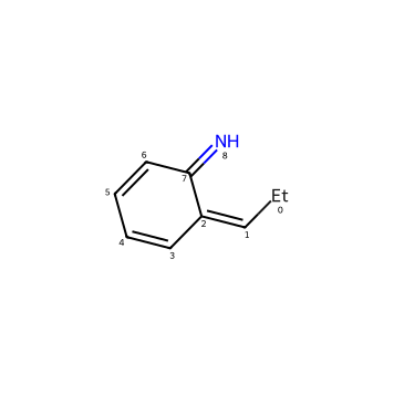 CC/C=C1/C=CC=CC1=N